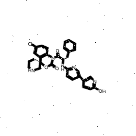 O=C1O[C@]2(CCCNC2)c2cc(Cl)ccc2N1C(=O)[C@H](Cc1ccccc1)Nc1ccc(-c2ccc(O)nc2)cn1